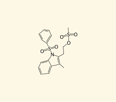 Cc1c(CCOS(C)(=O)=O)n(S(=O)(=O)c2ccccc2)c2ccccc12